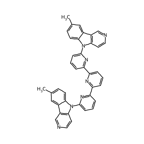 Cc1ccc2c(c1)c1cnccc1n2-c1cccc(-c2cccc(-c3cccc(-n4c5ccncc5c5cc(C)ccc54)n3)n2)n1